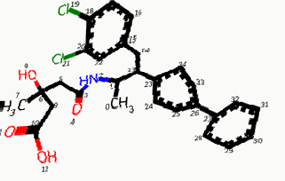 CC(NC(=O)CC(C)(O)CC(=O)O)C(Cc1ccc(Cl)c(Cl)c1)c1ccc(-c2ccccc2)cc1